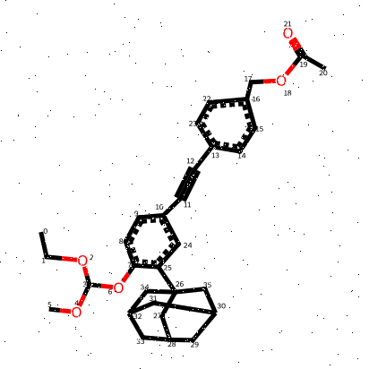 CCOC(OC)Oc1ccc(C#Cc2ccc(COC(C)=O)cc2)cc1C12CC3CC(CC(C3)C1)C2